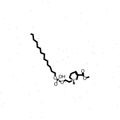 CCCCCCCCCCCCCCOP(=O)(O)OCC[N+]1(C)CCC=C(C(=O)OC)C1